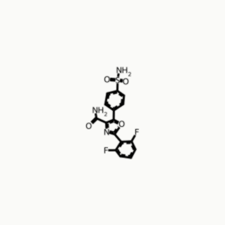 NC(=O)c1nc(-c2c(F)cccc2F)oc1-c1ccc(S(N)(=O)=O)cc1